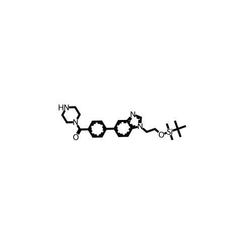 CC(C)(C)[Si](C)(C)OCCn1cnc2cc(-c3ccc(C(=O)N4CCNCC4)cc3)ccc21